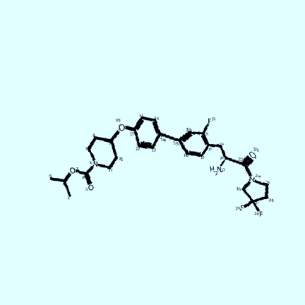 CC(C)OC(=O)N1CCC(Oc2ccc(-c3ccc(C[C@H](N)C(=O)N4CCC(F)(F)C4)c(F)c3)cc2)CC1